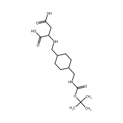 CC(C)(C)OC(=O)NCC1CCC(CNC(CC(=O)O)C(=O)O)CC1